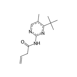 C=CCC(=O)Nc1ncc(C)c(C(C)(C)C)n1